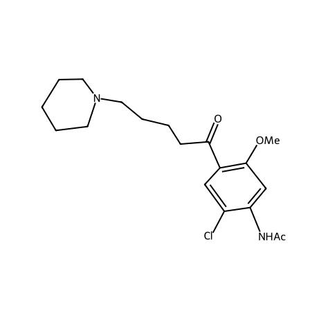 COc1cc(NC(C)=O)c(Cl)cc1C(=O)CCCCN1CCCCC1